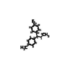 CCC(c1ccc(C)cc1)c1ccc(F)cc1